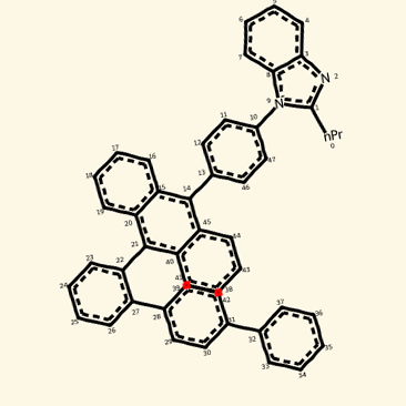 CCCc1nc2ccccc2n1-c1ccc(-c2c3ccccc3c(-c3ccccc3-c3ccc(-c4ccccc4)cc3)c3ccccc23)cc1